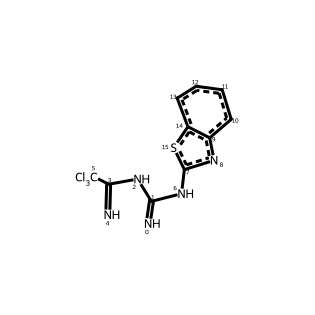 N=C(NC(=N)C(Cl)(Cl)Cl)Nc1nc2ccccc2s1